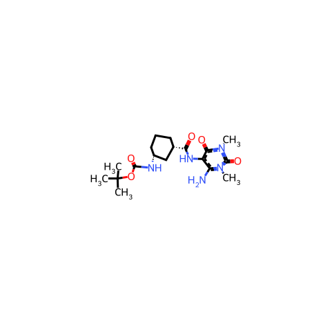 Cn1c(N)c(NC(=O)[C@H]2CCC[C@@H](NC(=O)OC(C)(C)C)C2)c(=O)n(C)c1=O